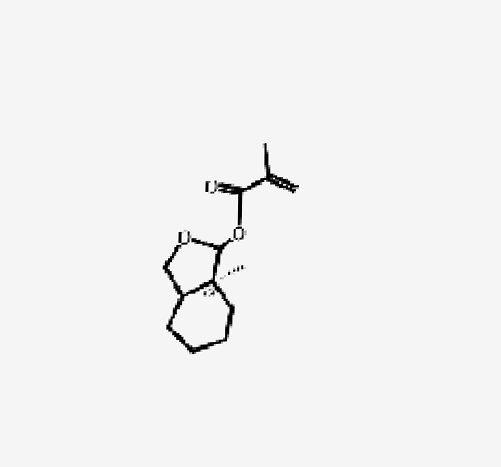 C=C(C)C(=O)OC1OCC2CCCC[C@@]21C